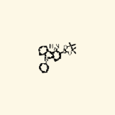 CC1(C)OB(c2ccc3c(c2N)c2ccccc2n3-c2ccccc2)OC1(C)C